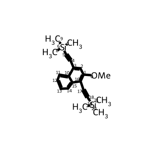 COc1cc(C#C[Si](C)(C)C)c2ccccc2c1C#C[Si](C)(C)C